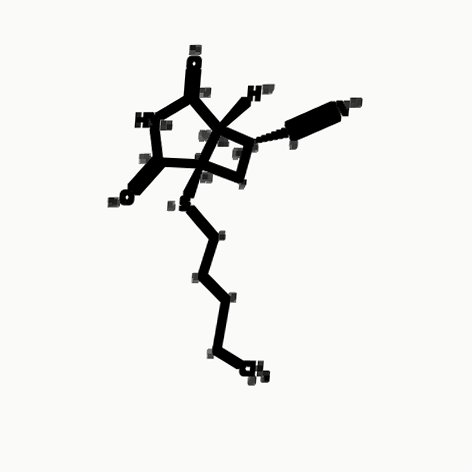 CCCCCS[C@]12C[C@@H](C#N)[C@H]1C(=O)NC2=O